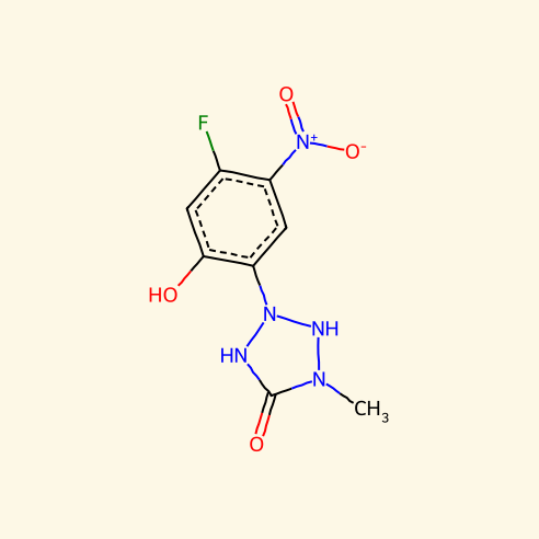 CN1NN(c2cc([N+](=O)[O-])c(F)cc2O)NC1=O